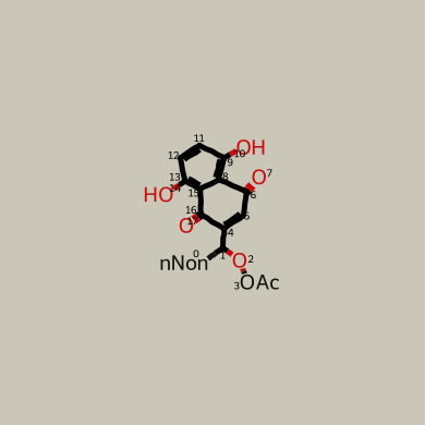 CCCCCCCCCC(OOC(C)=O)C1=CC(=O)c2c(O)ccc(O)c2C1=O